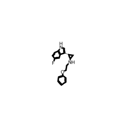 Fc1ccc2[nH]cc([C@@H]3C[C@H]3NCCOc3ccccc3)c2c1